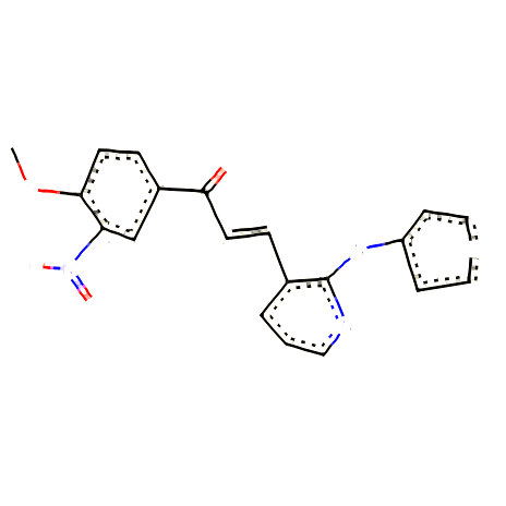 COc1ccc(C(=O)C=Cc2cccnc2Nc2ccccc2)cc1[N+](=O)[O-]